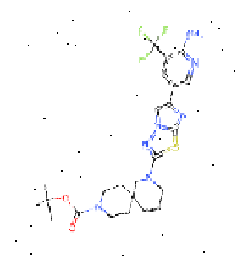 CC(C)(C)OC(=O)N1CCC2(CCCN(c3nn4cc(-c5cnc(N)c(C(F)(F)F)c5)nc4s3)C2)CC1